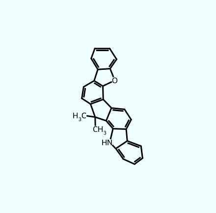 CC1(C)c2ccc3c(oc4ccccc43)c2-c2ccc3c([nH]c4ccccc43)c21